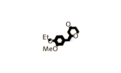 CCOc1ccc(/C=C2\CC(=O)CCO2)cc1OC